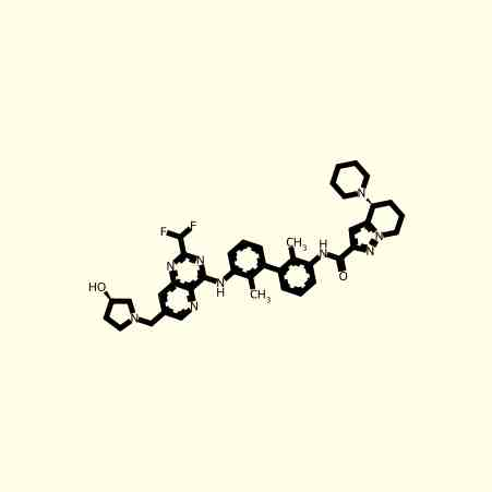 Cc1c(NC(=O)c2cc3n(n2)CCC[C@H]3N2CCCCC2)cccc1-c1cccc(Nc2nc(C(F)F)nc3cc(CN4CC[C@@H](O)C4)cnc23)c1C